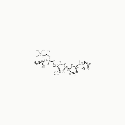 C[C@@H](CC(C)(C)C)CC(C)(COc1ccc(-c2ccnc(Nc3nccs3)c2)cc1Cl)OC(N)=O